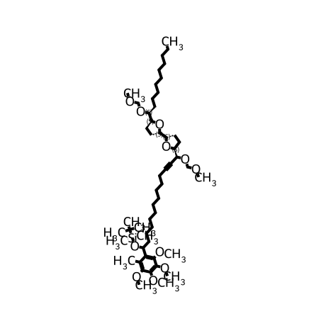 CCCCCCCCCC[C@H](OCOC)[C@@H]1CC[C@@H]([C@@H]2CC[C@@H](C(C#CCCCCCCCCCCC(O[Si](C)(C)C(C)(C)C)c3c(C)c(OC)c(OC)c(OC)c3OC)OCOC)O2)O1